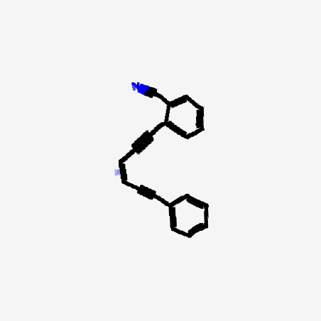 N#Cc1ccccc1C#C/C=C\C#Cc1ccccc1